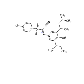 CCC(C)c1cc(/C=C(\C#N)S(=O)(=O)c2ccc(Cl)cc2)cc(C(C)CC(C)C)c1O